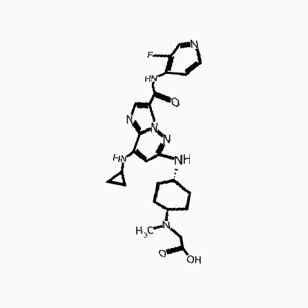 CN(CC(=O)O)[C@H]1CC[C@H](Nc2cc(NC3CC3)c3ncc(C(=O)Nc4ccncc4F)n3n2)CC1